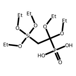 CCOC(C[Si](OCC)(OCC)OCC)(OCC)P(=O)(O)O